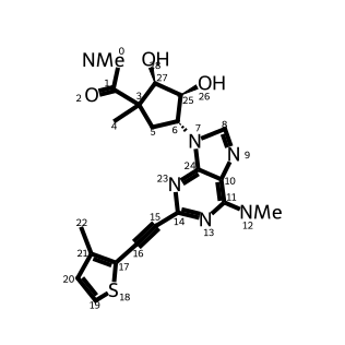 CNC(=O)C1(C)C[C@@H](n2cnc3c(NC)nc(C#Cc4sccc4C)nc32)[C@H](O)[C@@H]1O